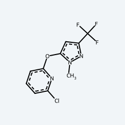 Cn1nc(C(F)(F)F)cc1Oc1cccc(Cl)n1